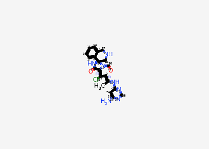 C/C(=C\C(Cl)=C1\C(=O)NC2(CNCc3ccccc32)N1C=O)Nc1cc(N)ncn1